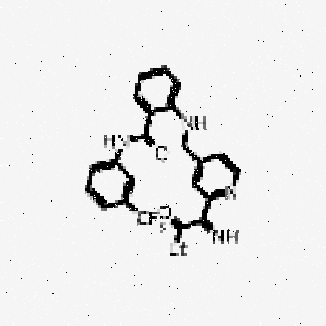 CCC(=O)C(=N)c1cc(CNc2ccccc2C(=O)Nc2cccc(C(F)(F)F)c2)ccn1